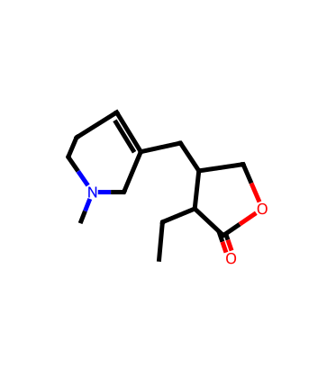 CCC1C(=O)OCC1CC1=CCCN(C)C1